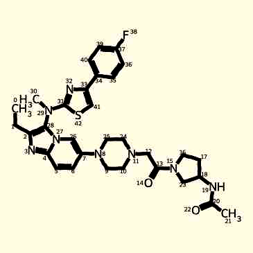 CCc1nc2ccc(N3CCN(CC(=O)N4CCC(NC(C)=O)C4)CC3)cn2c1N(C)c1nc(-c2ccc(F)cc2)cs1